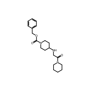 O=C(CNC1CCN(C(=O)OCc2ccccc2)CC1)N1CCCCC1